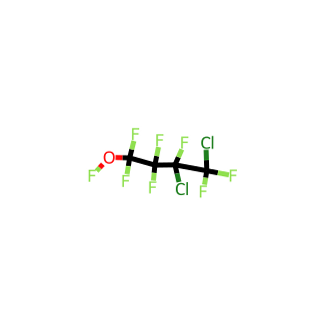 FOC(F)(F)C(F)(F)C(F)(Cl)C(F)(F)Cl